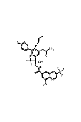 CCCOc1c(CC(N)=O)cc([C@@](O)(CNC(=O)c2cc(OC)c3ncc(C(F)(F)F)cc3c2)C(F)(F)F)nc1-c1ccc(F)cc1